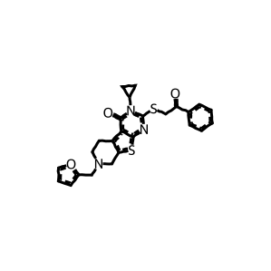 O=C(CSc1nc2sc3c(c2c(=O)n1C1CC1)CCN(Cc1ccco1)C3)c1ccccc1